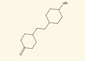 CCCC1CCC(CCC2CCC(=O)CC2)CC1